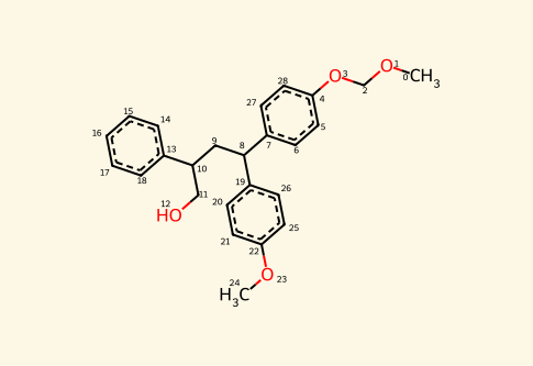 COCOc1ccc(C(CC(CO)c2ccccc2)c2ccc(OC)cc2)cc1